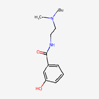 CCC(C)N(C)CCNC(=O)c1cccc(O)c1